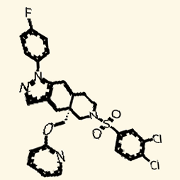 O=S(=O)(c1ccc(Cl)c(Cl)c1)N1CCC2=Cc3c(cnn3-c3ccc(F)cc3)C[C@]2(COc2ccccn2)C1